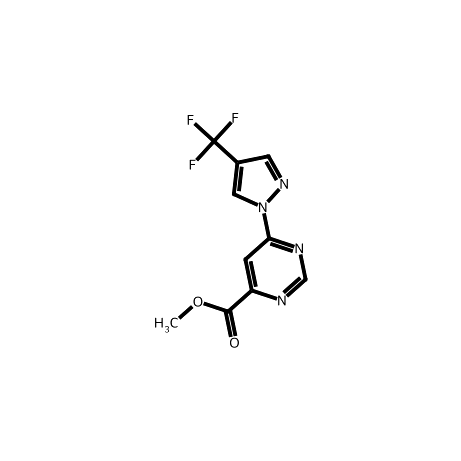 COC(=O)c1cc(-n2cc(C(F)(F)F)cn2)ncn1